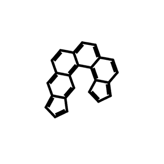 C1=Cc2cc3c(ccc4ccc5ccc6c(c5c43)C=CC=6)cc2=C1